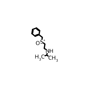 CC(C)NCC[S+]([O-])Cc1ccccc1